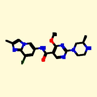 CCOc1nc(N2CCN[C@H](C)C2)ncc1C(=O)Nc1cc(F)c2nc(C)cn2c1